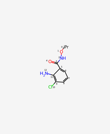 CC(C)ONC(=O)c1cccc(Cl)c1N